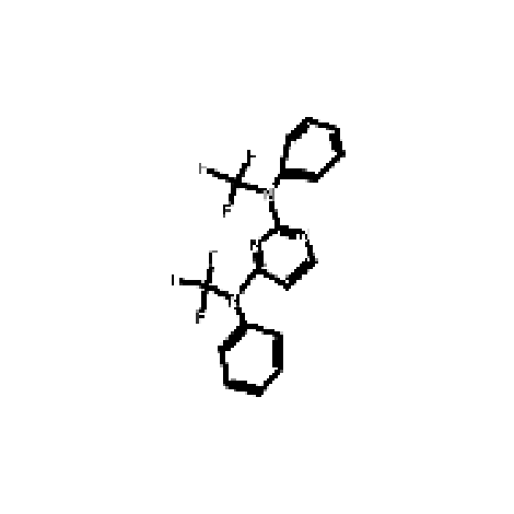 FC(F)(F)N(c1ccccc1)c1ccnc(N(c2ccccc2)C(F)(F)F)n1